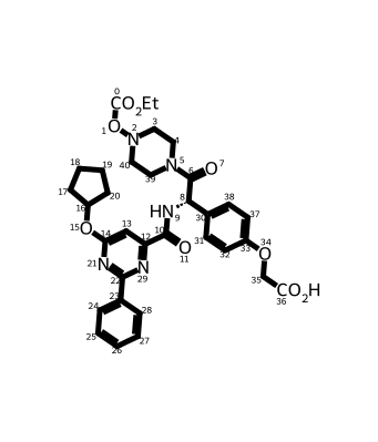 CCOC(=O)ON1CCN(C(=O)[C@@H](NC(=O)c2cc(OC3CCCC3)nc(-c3ccccc3)n2)c2ccc(OCC(=O)O)cc2)CC1